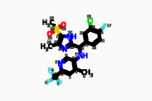 Cc1cc(C(F)(F)F)ncc1NC(c1ccc(F)c(Cl)c1)c1nc(C)c(S(C)(=O)=O)[nH]1